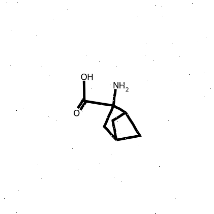 NC1(C(=O)O)CC2CC1C2